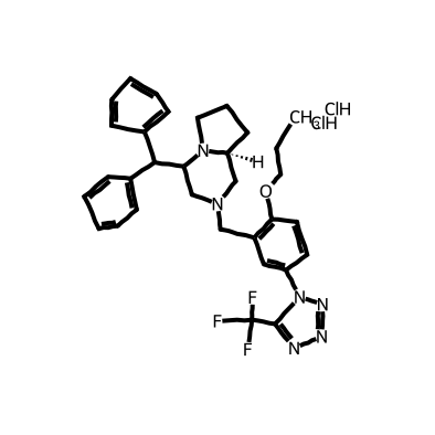 CCCOc1ccc(-n2nnnc2C(F)(F)F)cc1CN1CC(C(c2ccccc2)c2ccccc2)N2CCC[C@H]2C1.Cl.Cl